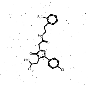 O=C(Cn1nc(-c2ccc(Cl)cc2)n(CC(O)C(F)(F)F)c1=O)NCCc1ccccc1C(F)(F)F